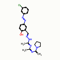 C=C(/N=C(C)\N=C(/C)N/N=C/c1cc(/N=N/c2cccc(Cl)c2)ccc1O)N1CCCC1